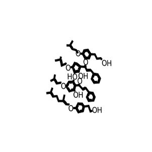 CC(C)=CCC/C(C)=C/COc1ccc(CCO)cc1.CC(C)=CCOc1cc(O)c(C(=O)/C=C/c2ccccc2)c(O)c1.CC(C)=CCOc1ccc(C(=O)/C=C/c2ccccc2)c(O)c1.CC(C)=CCOc1ccc(CCCO)cc1